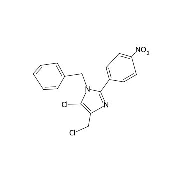 O=[N+]([O-])c1ccc(-c2nc(CCl)c(Cl)n2Cc2ccccc2)cc1